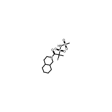 CC(F)(C(=O)N1CCC2CCCCC2C1)S(=O)(=O)NS(C)(=O)=O